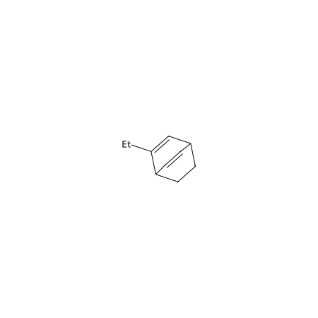 CCC1=CC2C=CC1CC2